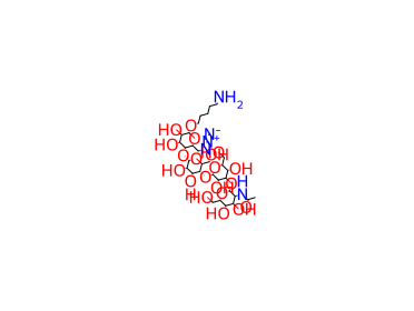 CC(=O)NC1C(O)[C@@H](O)C(CO)O[C@H]1OC1[C@@H](O)C(CO)O[C@H](O[C@H]2C(CO)O[C@@H](O[C@@H]3C(CN=[N+]=[N-])O[C@@H](OCCCCCN)C(O)C3O)C(O)C2O)[C@@H]1O